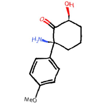 COc1ccc([C@@]2(N)CCC[C@H](O)C2=O)cc1